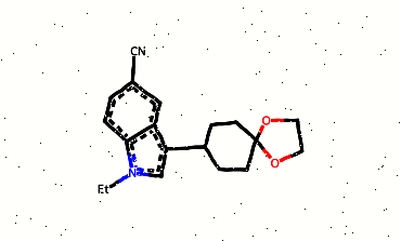 CCn1cc(C2CCC3(CC2)OCCO3)c2cc(C#N)ccc21